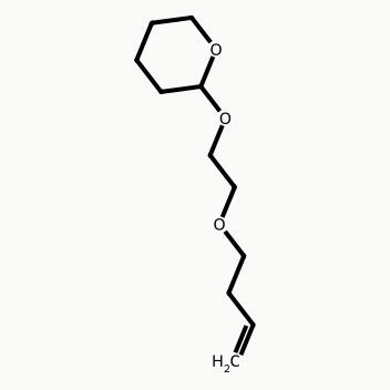 C=CCCOCCOC1CCCCO1